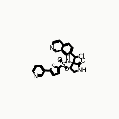 O=C1NCC[C@@]1(NS(=O)(=O)c1ccc(-c2cccnc2)s1)C(Cl)c1ccc2ccncc2c1